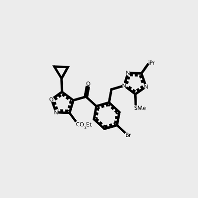 CCOC(=O)c1noc(C2CC2)c1C(=O)c1ccc(Br)cc1Cn1nc(C(C)C)nc1SC